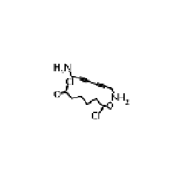 NCC#CC#CCN.O=C(Cl)CCCCC(=O)Cl